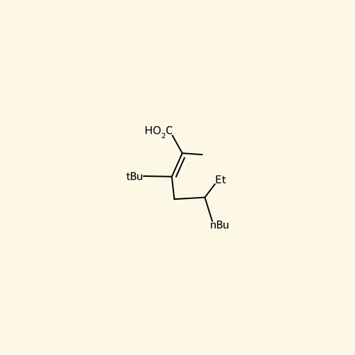 CCCCC(CC)CC(=C(C)C(=O)O)C(C)(C)C